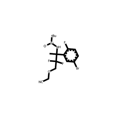 CC(C)(C)[S+]([O-])NC(C)(c1cc(Br)ccc1F)C(F)(F)COCC#N